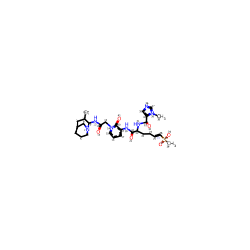 CCC1CC2CCCN(C2)C1NC(=O)Cn1cccc(NC(=O)C(CC/C=C/S(C)(=O)=O)NC(=O)c2cncn2C)c1=O